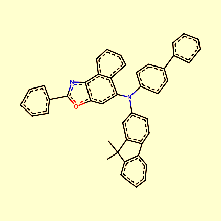 CC1(C)c2ccccc2-c2ccc(N(c3ccc(-c4ccccc4)cc3)c3cc4oc(-c5ccccc5)nc4c4ccccc34)cc21